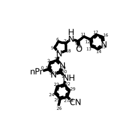 CCCc1cc(N2CCC(NC(=O)Cc3ccncc3)C2)nc(Nc2ccc(C)c(C#N)c2)n1